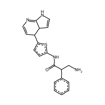 NCC(C(=O)Nc1ccc(C2C=CN=C3NC=CC32)s1)c1ccccc1